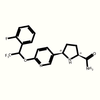 NC(=O)[C@@H]1CC[C@H](c2ccc(OC(c3ccccc3F)C(F)(F)F)nc2)N1